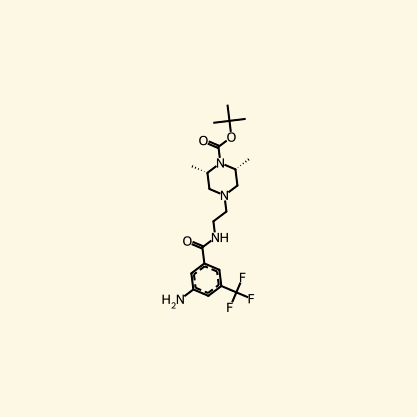 C[C@@H]1CN(CCNC(=O)c2cc(N)cc(C(F)(F)F)c2)C[C@H](C)N1C(=O)OC(C)(C)C